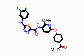 COc1nc(O[C@H]2CC[C@H](C(=O)OC)CC2)ccc1NC(=O)c1nnc(Nc2ccc(F)c(F)c2)o1